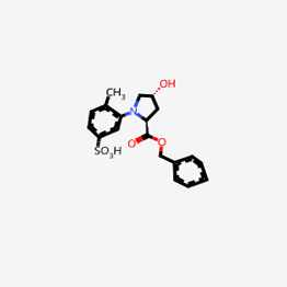 Cc1ccc(S(=O)(=O)O)cc1N1C[C@H](O)C[C@H]1C(=O)OCc1ccccc1